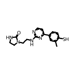 Cc1cc(-c2ccnc(NCCN3CCNC3=O)n2)ccc1S